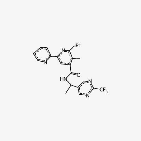 Cc1c(C(=O)NC(C)c2cnc(C(F)(F)F)nc2)cc(-c2ccccn2)nc1C(C)C